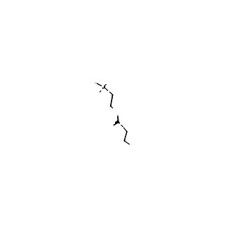 CCCC(=O)OCCC(C)(C)S